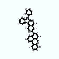 c1ccc(-n2c3ccccc3c3c4ccc(-c5ccc6c7c(cccc57)-c5ccccc5S6)cc4ccc32)cc1